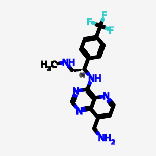 CNC[C@@H](Nc1ncnc2c(CN)ccnc12)c1ccc(C(F)(F)F)cc1